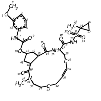 COc1cccc(NC(=O)OC2CC3C(=O)NC(C(=O)NS(=O)(=O)C4(C)CC4)CCC=CCCCCN(C)C(=O)C3C2)c1